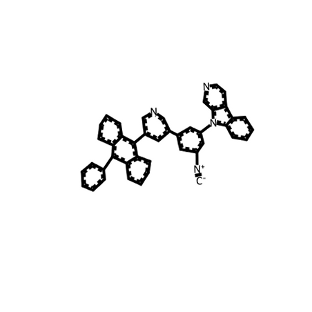 [C-]#[N+]c1cc(-c2cncc(-c3c4ccccc4c(-c4ccccc4)c4ccccc34)c2)cc(-n2c3ccccc3c3ccncc32)c1